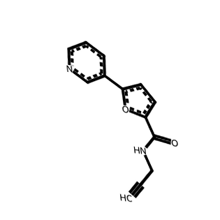 C#CCNC(=O)c1ccc(-c2cccnc2)o1